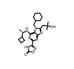 C[C@@H](Nc1nc(-c2noc(=O)[nH]2)nc2nc(CC(C)(C)O)n(CC3CCCCC3)c12)C1CCC1